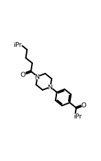 CC(C)CCCC(=O)N1CCN(c2ccc(C(=O)C(C)C)cc2)CC1